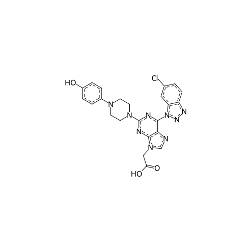 O=C(O)Cn1cnc2c(-n3nnc4ccc(Cl)cc43)nc(N3CCN(c4ccc(O)cc4)CC3)nc21